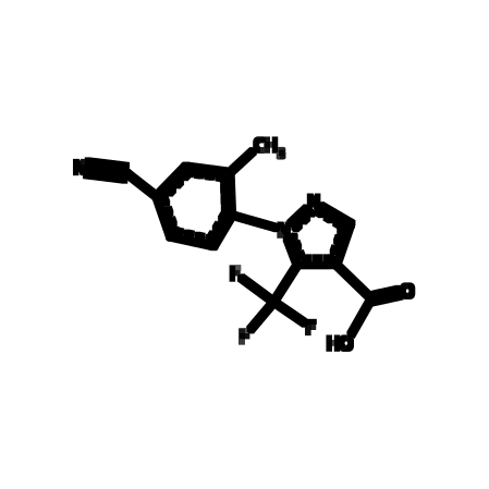 Cc1cc(C#N)ccc1-n1ncc(C(=O)O)c1C(F)(F)F